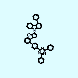 C1=CC2c3c(-c4ccccc4)cccc3N(C3=CC=C4c5c(cccc5-c5ccc(-c6nc(-c7ccccc7)nc(-c7ccccc7)n6)cc5)OC43)C2C=C1